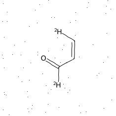 [2H]/C=C\C([2H])=O